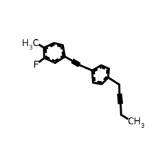 CCC#CCc1ccc(C#Cc2ccc(C)c(F)c2)cc1